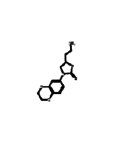 NCCC1CN(c2ccc3c(c2)OCCO3)C(=O)O1